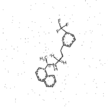 [2H]C([2H])(CCc1cccc(C(F)(F)F)c1)N[C@H](C)c1cccc2ccccc12